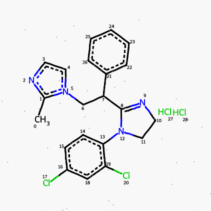 Cc1nccn1CC(C1=NCCN1c1ccc(Cl)cc1Cl)c1ccccc1.Cl.Cl